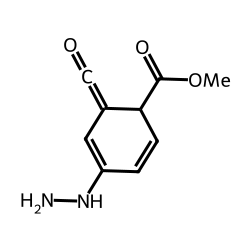 COC(=O)C1C=CC(NN)=CC1=C=O